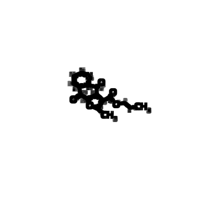 CCCOC(=O)c1c(C)oc2c1C(=O)c1ncccc1C2=O